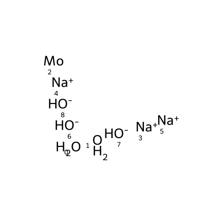 O.O.[Mo].[Na+].[Na+].[Na+].[OH-].[OH-].[OH-]